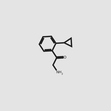 NCC(=O)c1ccccc1C1CC1